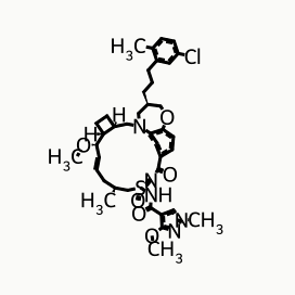 COc1nn(C)cc1C(=O)NS1(=O)=NC(=O)c2ccc3c(c2)N(C[C@@H](CCCc2cc(Cl)ccc2C)CO3)C[C@@H]2CC[C@H]2[C@@H](OC)/C=C/C[C@H](C)C1